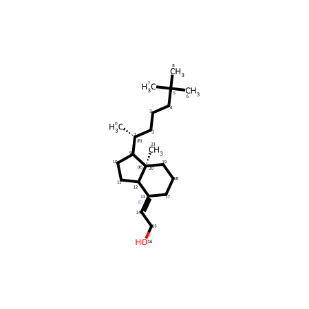 C[C@H](CCCC(C)(C)C)C1CCC2/C(=C/CO)CCC[C@@]21C